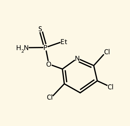 CCP(N)(=S)Oc1nc(Cl)c(Cl)cc1Cl